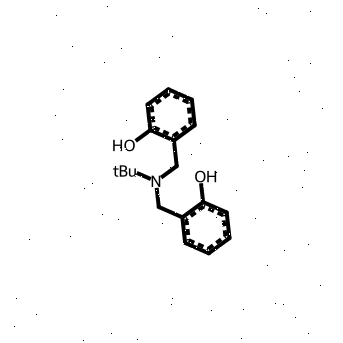 CC(C)(C)N(Cc1ccccc1O)Cc1ccccc1O